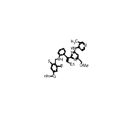 CC/C=C(\c1nc(COC)cc(Nc2ccncc2C)n1)c1ccccc1NCc1c(F)cc(OCCC)cc1F